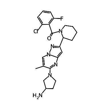 Cc1cn2nc(C3CCCCN3C(=O)c3c(F)cccc3Cl)cc2nc1N1CCC(N)C1